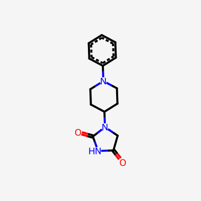 O=C1CN(C2CCN(c3ccccc3)CC2)C(=O)N1